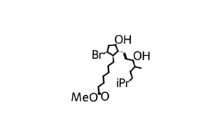 COC(=O)CCCCCC[C@@H]1[C@@H](/C=C/[C@@H](O)C(C)CCC(C)C)[C@H](O)C[C@@H]1Br